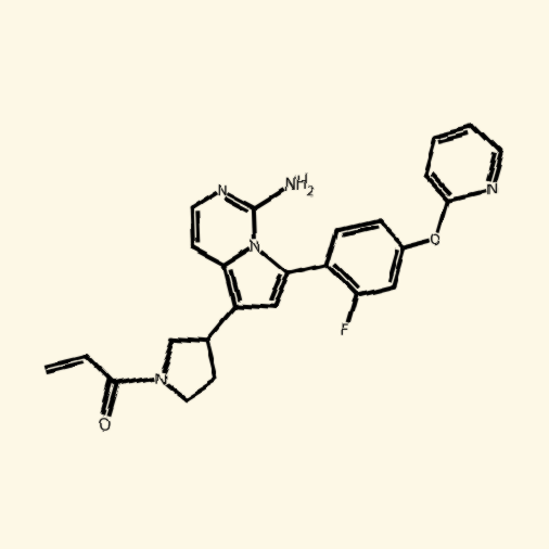 C=CC(=O)N1CCC(c2cc(-c3ccc(Oc4ccccn4)cc3F)n3c(N)nccc23)C1